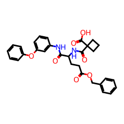 O=C(CCC(NC(=O)C1(C(=O)O)CCC1)C(=O)Nc1cccc(Oc2ccccc2)c1)OCc1ccccc1